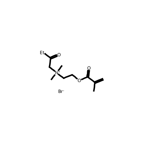 C=C(C)C(=O)OCC[N+](C)(C)CC(=O)CC.[Br-]